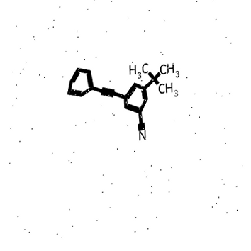 CC(C)(C)c1cc(C#N)cc(C#Cc2ccccc2)c1